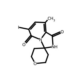 Cc1cc(I)c(=O)n2c1C(=O)NC21CCOCC1